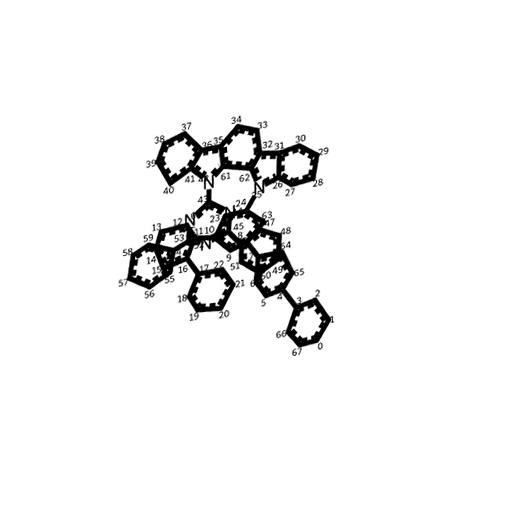 c1ccc(-c2ccc(-c3cc(-c4ccccc4-c4ccccc4)cc(-n4c5ccccc5c5ccc6c7ccccc7n(-c7nc(-c8ccccc8)nc(-c8ccccc8)n7)c6c54)c3)cc2)cc1